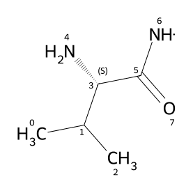 CC(C)[C@H](N)C([NH])=O